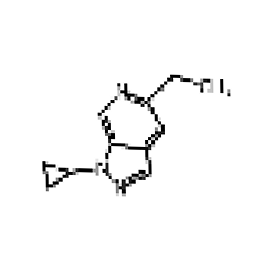 CCc1cc2cnn(C3CC3)c2cn1